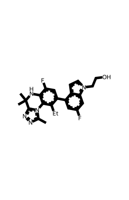 CCc1c(-c2cc(F)cc3c2ccn3CCO)cc(F)c2c1-n1c(C)nnc1C(C)(C)N2